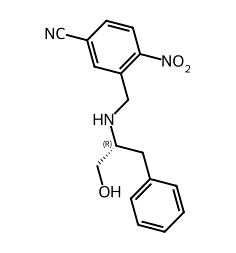 N#Cc1ccc([N+](=O)[O-])c(CN[C@@H](CO)Cc2ccccc2)c1